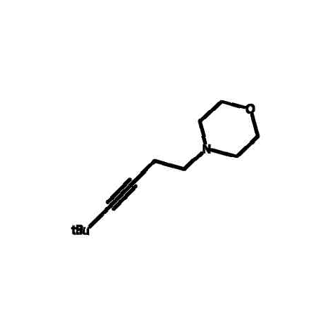 CC(C)(C)C#CCCN1CCOCC1